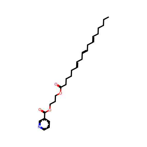 CCCCCC=CCC=CCC=CCCCCC(=O)OCCCOC(=O)c1cccnc1